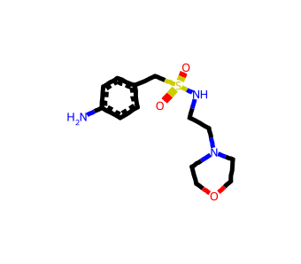 Nc1ccc(CS(=O)(=O)NCCN2CCOCC2)cc1